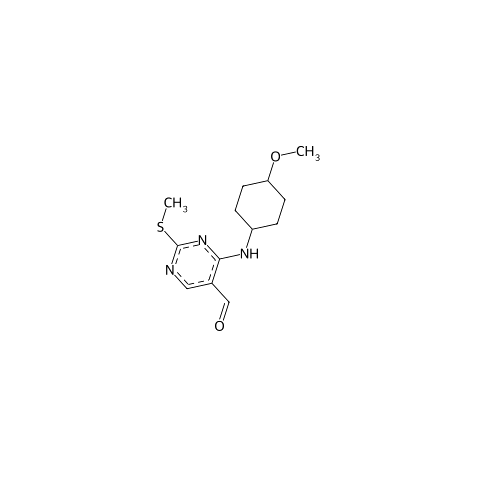 COC1CCC(Nc2nc(SC)ncc2C=O)CC1